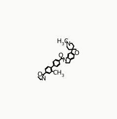 Cc1cc(C2=NCCO2)ccc1-c1ccc(C(=O)N2CCc3cc4c(cc32)C2(CCN(C)CC2)CO4)cc1